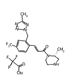 Cc1nnn(Cc2cc(C(F)(F)F)ccc2/C=C/C(=O)N2CCNC[C@H]2C)n1.O=C(O)C(F)(F)F